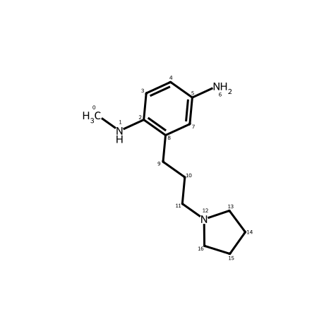 CNc1ccc(N)cc1CCCN1CCCC1